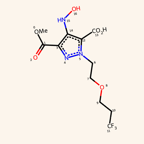 COC(=O)c1nn(CCOCCC(F)(F)F)c(C(=O)O)c1NO